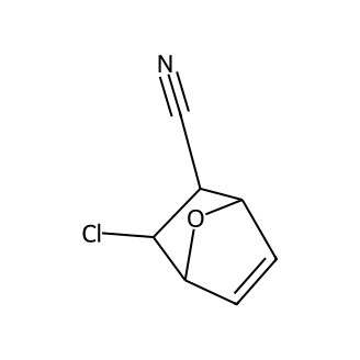 N#CC1C2C=CC(O2)C1Cl